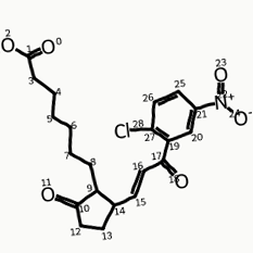 O=C(O)CCCCCCC1C(=O)CCC1/C=C/C(=O)c1cc([N+](=O)[O-])ccc1Cl